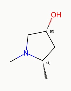 C[C@H]1C[C@@H](O)CN1C